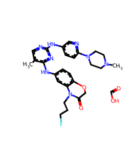 Cc1cnc(Nc2ccc(N3CCN(C)CC3)nc2)nc1Nc1ccc2c(c1)N(CCCF)C(=O)CO2.O=CO